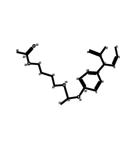 C=C(C)C(/C=C\C)c1ccc(OC(C)OCCCCOC(C)=O)cc1